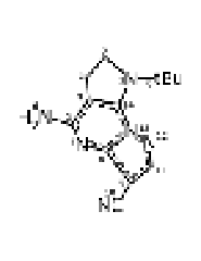 CC(C)(C)N1CCc2c(N)nc3c(C#N)cnn3c21